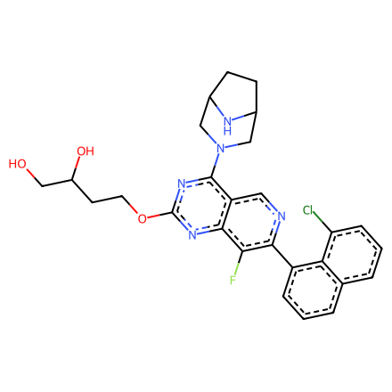 OCC(O)CCOc1nc(N2CC3CCC(C2)N3)c2cnc(-c3cccc4cccc(Cl)c34)c(F)c2n1